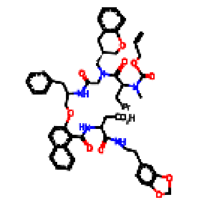 C=CCOC(=O)N(C)C(CC(C)C)C(=O)N(CC(=O)NC(COc1ccc2ccccc2c1C(=O)NC(CC(=O)O)C(=O)NCCc1ccc2c(c1)OCO2)Cc1ccccc1)C[C@H]1COc2ccccc2C1